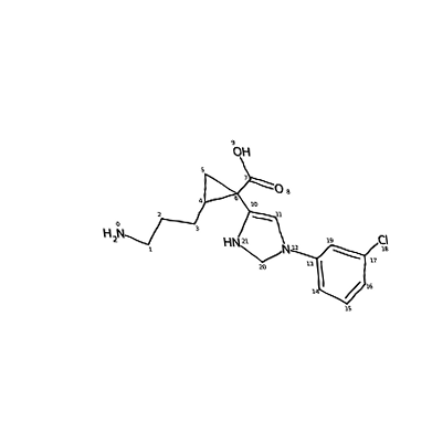 NCCCC1CC1(C(=O)O)C1=CN(c2cccc(Cl)c2)CN1